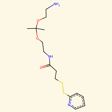 CC(C)(OCCN)OCCNC(=O)CCSSc1ccccn1